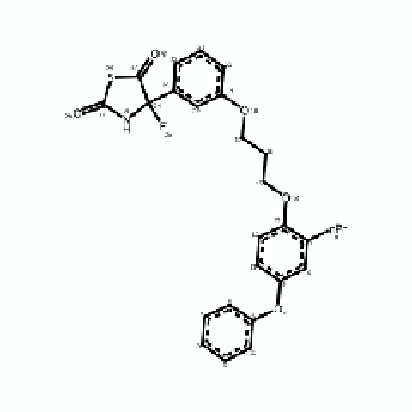 CCCc1cc(Oc2ccccc2)ccc1OCCCOc1cccc(C2(F)NC(=O)SC2=O)c1